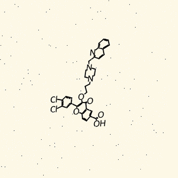 O=C(O)c1ccc2oc(-c3ccc(Cl)c(Cl)c3)c(OCCCN3CCN(Cc4ccc5ccccc5n4)CC3)c(=O)c2c1